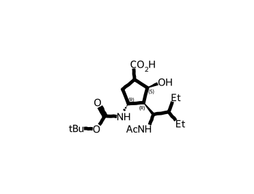 CCC(CC)C(NC(C)=O)[C@@H]1[C@H](O)C(C(=O)O)C[C@H]1NC(=O)OC(C)(C)C